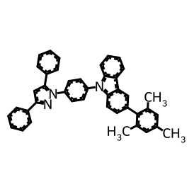 Cc1cc(C)c(-c2ccc3c(c2)c2ccccc2n3-c2ccc(-n3nc(-c4ccccc4)cc3-c3ccccc3)cc2)c(C)c1